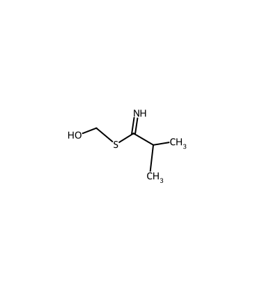 CC(C)C(=N)SCO